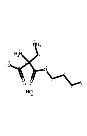 CCCCOC(=O)C(N)(CN)C(=O)O.Cl